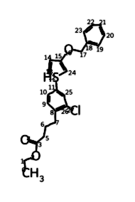 CCOC(=O)CCCc1ccc([SH]2C=CC(OCc3ccccc3)=C2)cc1Cl